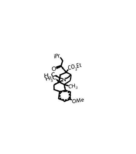 CCOC(=O)C1(C(=O)CC(C)C)CC2(C)C3Cc4ccc(OC)cc4C2(C)CC1N3C